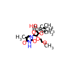 COCCOC1C(O[Si](C)(C)C(C)(C)C)[C@@H](CO)O[C@@H]1n1cc(C)c(=O)[nH]c1=O